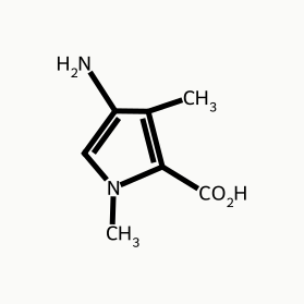 Cc1c(N)cn(C)c1C(=O)O